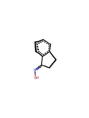 ON=C1[CH]Cc2ccccc21